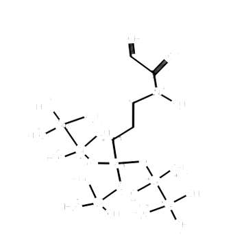 C=CC(=O)N(C)CCC[Si](O[Si](C)(C)C)(O[Si](C)(C)[Si](C)(C)C)O[Si](C)(C)[Si](C)(C)C